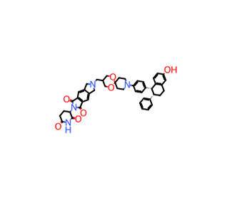 O=C1CCC(N2C(=O)c3cc4c(cc3C2=O)CN(CC2COC3(CCN(c5ccc([C@@H]6c7ccc(O)cc7CC[C@@H]6c6ccccc6)cc5)CC3)OC2)C4)C(=O)N1